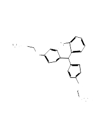 COCOc1ccc(C(c2ccc(OCOC)cc2)c2ccccc2[N+](=O)[O-])cc1